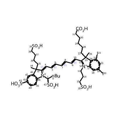 CCCCC(N1\C(=C/C=C/C=C/C=C/C2=[N+](CCCS(=O)(=O)O)c3cc(I)cc(I)c3C2(C)CCCCCC(=O)O)C(C)(CCCCS(=O)(=O)O)c2cc(S(=O)(=O)O)ccc21)S(=O)(=O)O